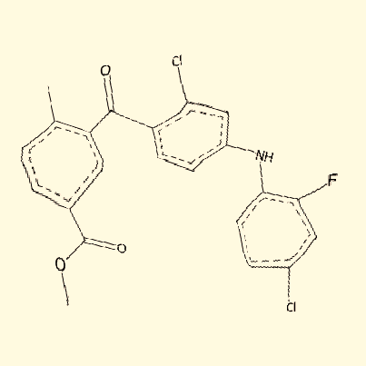 COC(=O)c1ccc(C)c(C(=O)c2ccc(Nc3ccc(Cl)cc3F)cc2Cl)c1